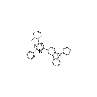 CC1CC=CC=C1c1nc(-c2ccccc2)nc(-c2ccc3c(c2)c2ccccc2n3-c2ccccc2)n1